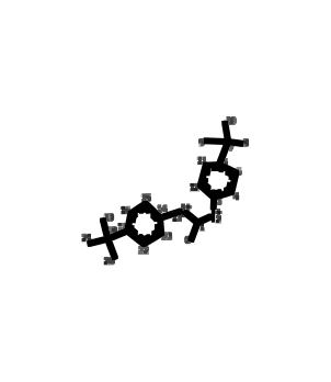 CC([I+]c1ccc(C(C)(C)C)cc1)[I+]c1ccc(C(C)(C)C)cc1